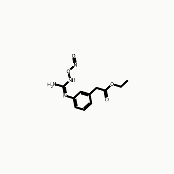 CCOC(=O)Cc1cccc(N=C(N)NON=O)c1